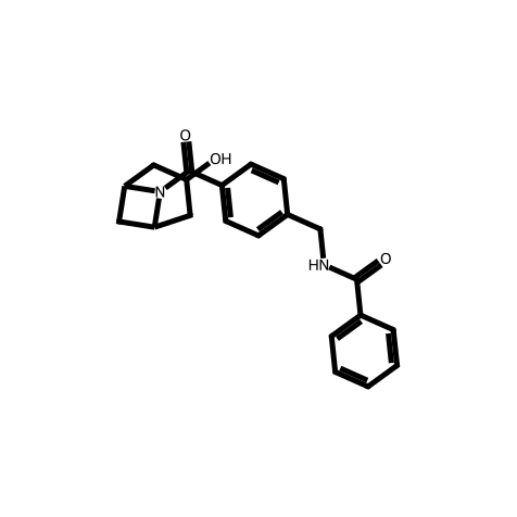 O=C(NCc1ccc(C(=O)N2C3CC(O)CC2C3)cc1)c1ccccc1